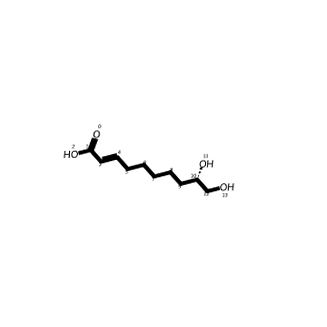 O=C(O)C=CCCCCC[C@H](O)CO